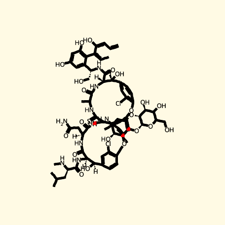 C=C/C=C(O)\C(=C/C)c1c(O)cc(O)cc1[C@@H](CO)NC(=O)[C@H]1NC(=O)C(C)NC(=S)[C@@H]2NC(=O)[C@H](CC(N)=O)NC(=O)[C@H](NC(=O)[C@@H](CC(C)C)NC)[C@H](O)c3ccc(c(Cl)c3)Oc3cc2cc(c3O[C@@H]2OC(CO)C(O)[C@H](O)[C@H]2O[C@H]2CC(C)(N)[C@H](O)[C@H](C)O2)Oc2ccc(cc2Cl)[C@H]1O